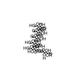 O=C(CO)[C@@H](O)[C@H](O)[C@H](O)CO.O=C[C@@H](O)[C@@H](O)[C@H](O)[C@H](O)CO.O=C[C@@H](O)[C@H](O)[C@H](O)CO.O=C[C@H](O)[C@@H](O)[C@@H](O)[C@H](O)CO.O=C[C@H](O)[C@@H](O)[C@H](O)CO.O=C[C@H](O)[C@@H](O)[C@H](O)[C@H](O)CO